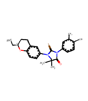 CNC[C@H]1CCc2cc(N3C(=S)N(c4ccc(C#N)c(C(F)(F)F)c4)C(=O)C3(C)C)ccc2O1